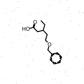 CCC(CCOCc1ccccc1)CC(=O)O